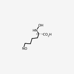 O=NCCCC[C@H](NO)C(=O)O